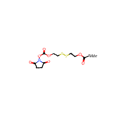 CNC(=O)OCCSSCCOC(=O)ON1C(=O)CCC1=O